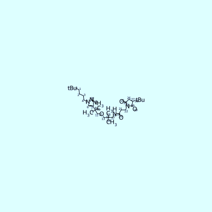 CC(C)(C)CCCCn1cc(C(C)(C)COCC(C)(C)CNC(=O)CCN2C(=O)CC(C(C)(C)C)C2=O)nn1